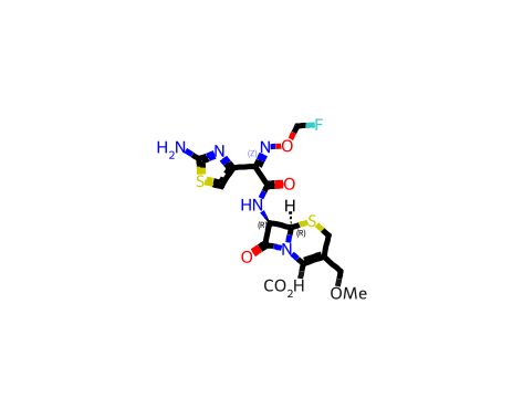 COCC1=C(C(=O)O)N2C(=O)[C@@H](NC(=O)/C(=N\OCF)c3csc(N)n3)[C@H]2SC1